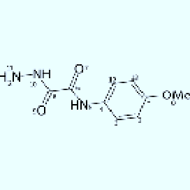 COc1ccc(NC(=O)C(=O)NN)cc1